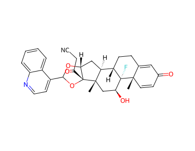 C[C@]12C=CC(=O)C=C1CC[C@H]1[C@@H]3C[C@H]4OC(c5ccnc6ccccc56)O[C@@]4(C(=O)CC#N)[C@@]3(C)C[C@H](O)[C@@]12F